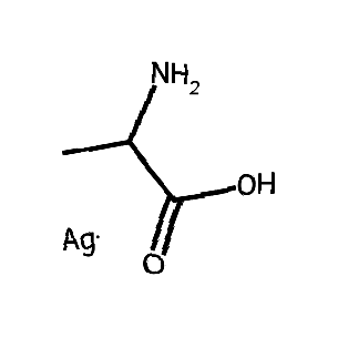 CC(N)C(=O)O.[Ag]